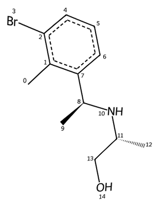 Cc1c(Br)cccc1[C@H](C)N[C@H](C)CO